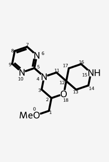 COCC1CN(c2ncccn2)CC2(CCNCC2)O1